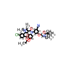 C=CCOc1ccc(N(C(=O)c2cc(-c3cc(Cl)ccc3C(=O)O)n(C)c2C)c2cc(C#N)cc(OCCN(C)C(=O)C(C)(C)C)c2)cc1